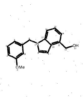 COc1cccc(Cn2ccc3c(CO)cccc32)c1